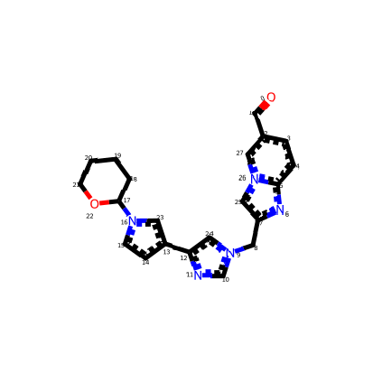 O=Cc1ccc2nc(Cn3cnc(-c4ccn(C5CCCCO5)c4)c3)cn2c1